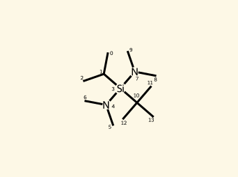 CC(C)[Si](N(C)C)(N(C)C)C(C)(C)C